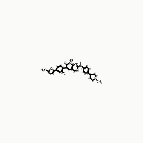 CCn1c(=O)c(-c2ccc(-c3cnc(C)o3)cc2Cl)cc2cnc(Nc3ccc(C4CCN(C)CC4)cc3)nc21